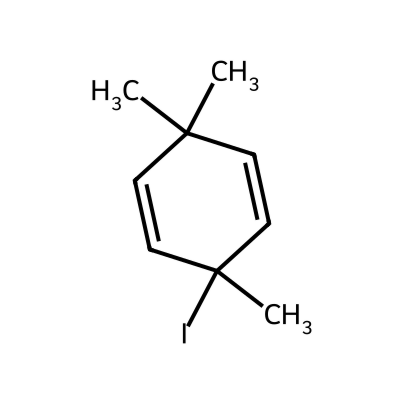 CC1(C)C=CC(C)(I)C=C1